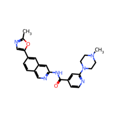 Cc1ncc(-c2ccc3cnc(NC(=O)c4ccnc(N5CCN(C)CC5)c4)cc3c2)o1